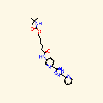 CC(C)(C)NC(=O)OCCCCCC(=O)Nc1ccc(-c2nnc(-c3ccccn3)nn2)nc1